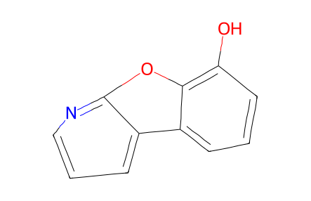 Oc1cccc2c1oc1ncccc12